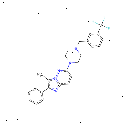 Cc1c(-c2ccccc2)nc2ccc(N3CCN(Cc4cccc(C(F)(F)F)c4)CC3)nn12